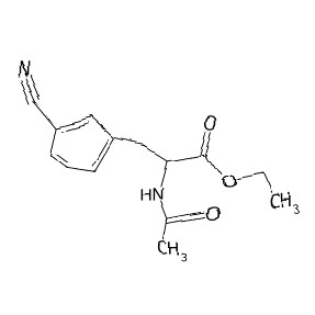 CCOC(=O)C(Cc1cccc(C#N)c1)NC(C)=O